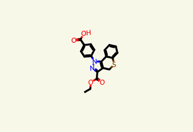 CCOC(=O)c1nn(-c2ccc(C(=O)O)cc2)c2c1CSc1ccccc1-2